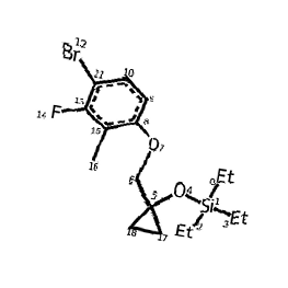 CC[Si](CC)(CC)OC1(COc2ccc(Br)c(F)c2C)CC1